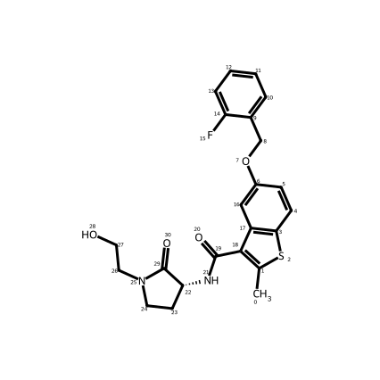 Cc1sc2ccc(OCc3ccccc3F)cc2c1C(=O)N[C@@H]1CCN(CCO)C1=O